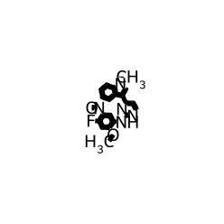 COc1cc(F)c(N=O)cc1Nc1nccc(-c2cn(C)c3ccccc23)n1